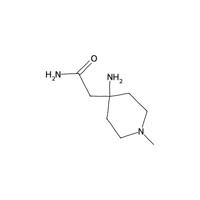 CN1CCC(N)(CC(N)=O)CC1